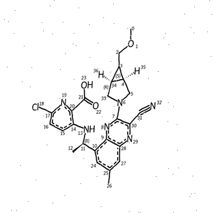 COCC1[C@H]2CN(c3nc4c([C@@H](C)Nc5ccc(Cl)nc5C(=O)O)cc(C)cc4nc3C#N)C[C@@H]12